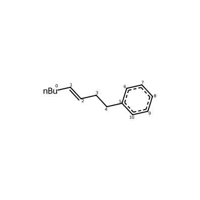 CCCC/C=C/CCc1ccccc1